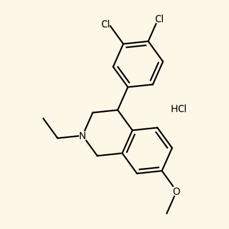 CCN1Cc2cc(OC)ccc2C(c2ccc(Cl)c(Cl)c2)C1.Cl